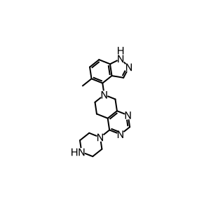 Cc1ccc2[nH]ncc2c1N1CCc2c(ncnc2N2CCNCC2)C1